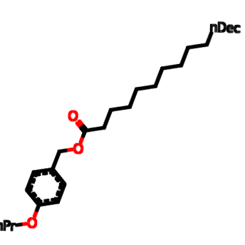 CCCCCCCCCCCCCCCCCCCC(=O)OCc1ccc(OCCC)cc1